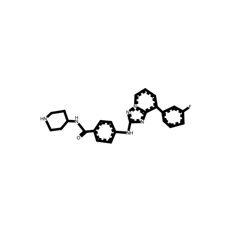 O=C(NC1CCNCC1)c1ccc(Nc2nc3c(-c4cccc(F)c4)cccn3n2)cc1